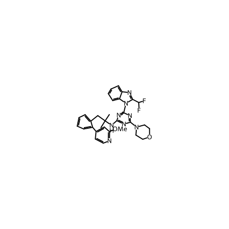 COc1cc(-c2ccccc2CC(C)(C)Nc2nc(N3CCOCC3)nc(-n3c(C(F)F)nc4ccccc43)n2)ccn1